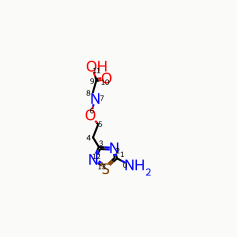 Nc1nc(CCON=CC(=O)O)ns1